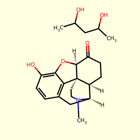 CC(O)CC(C)O.CN1CC[C@]23c4c5ccc(O)c4O[C@H]2C(=O)CC[C@H]3[C@H]1C5